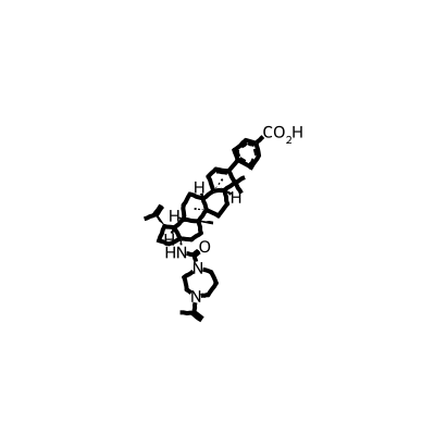 C=C(C)[C@@H]1CC[C@]2(NC(=O)N3CCCN(C(=C)C)CC3)CC[C@]3(C)[C@H](CC[C@@H]4[C@@]5(C)CC=C(c6ccc(C(=O)O)cc6)C(C)(C)[C@@H]5CC[C@]43C)[C@@H]12